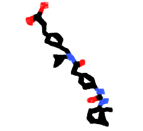 Cc1ccccc1NC(=O)Nc1ccc(CC(=O)N(Cc2ccc(CCC(=O)O)cc2)C2CC2)cc1